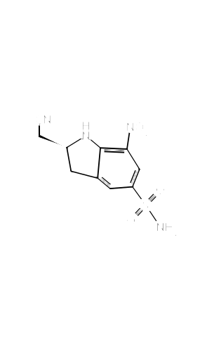 N#CC[C@@H]1Cc2cc(S(N)(=O)=O)cc([N+](=O)[O-])c2N1